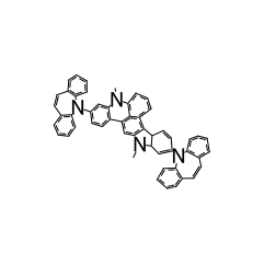 CN1c2cc(N3c4ccccc4C=Cc4ccccc43)ccc2-c2cc3c(c4cccc1c24)C1C=CC(N2c4ccccc4C=Cc4ccccc42)=CC1N3C